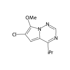 COc1c(Cl)cc2c(C(C)C)ncnn12